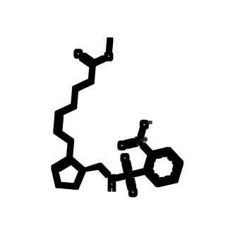 COC(=O)CCC/C=C\CC1=CCC[C@@H]1CNS(=O)(=O)c1ccccc1[N+](=O)[O-]